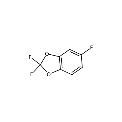 Fc1[c]cc2c(c1)OC(F)(F)O2